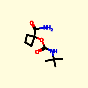 CC(C)(C)NC(=O)OC1(C(N)=O)CCC1